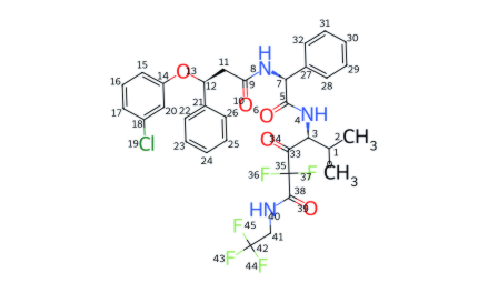 CC(C)[C@H](NC(=O)[C@@H](NC(=O)C[C@H](Oc1cccc(Cl)c1)c1ccccc1)c1ccccc1)C(=O)C(F)(F)C(=O)NCC(F)(F)F